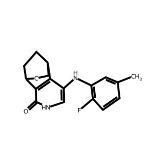 Cc1ccc(F)c(Nc2c[nH]c(=O)c3c2C2CCC3CC2)c1